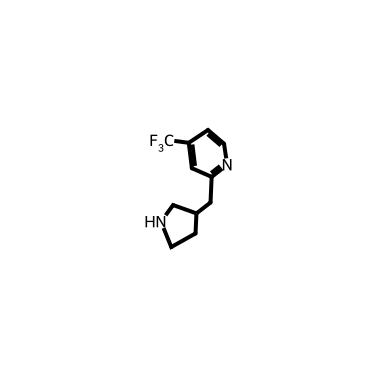 FC(F)(F)c1ccnc(CC2CCNC2)c1